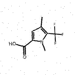 Cc1cc(C(=O)O)n(C)c1C(F)(F)F